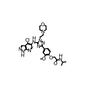 COc1cc(-c2nc(Nc3cnc4[nH]ncc4c3Cl)n(CCN3CCOCC3)n2)ccc1OCC(=O)NC(C)C